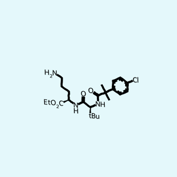 CCOC(=O)[C@@H](CCCN)NC(=O)[C@@H](NC(=O)C(C)(C)c1ccc(Cl)cc1)C(C)(C)C